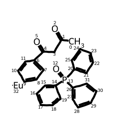 CC(=O)CC(=O)c1ccccc1.O=P(c1ccccc1)(c1ccccc1)c1ccccc1.[Eu]